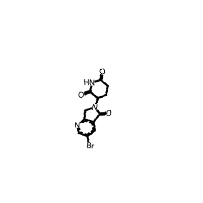 O=C1CCC(N2Cc3ncc(Br)cc3C2=O)C(=O)N1